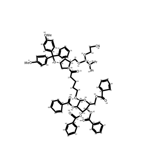 COc1ccc(C(O[C@@H]2C[C@@H](COP(OCCC#N)N(C(C)C)C(C)C)N(C(=O)CCCCO[C@H]3OC(COC(=O)c4ccccc4)[C@@H](OC(=O)c4ccccc4)[C@H](OC(=O)c4ccccc4)C3OC(=O)c3ccccc3)C2)(c2ccccc2)c2ccc(OC)cc2)cc1